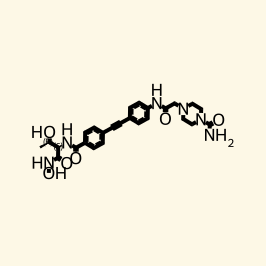 C[C@@H](O)[C@H](NC(=O)c1ccc(C#Cc2ccc(NC(=O)CN3CCN(C(N)=O)CC3)cc2)cc1)C(=O)NO